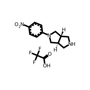 O=C(O)C(F)(F)F.O=[N+]([O-])c1ccc(N2C[C@@H]3CNC[C@H]3C2)cc1